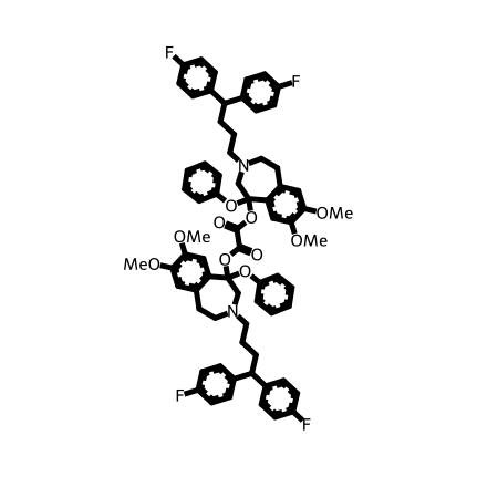 COc1cc2c(cc1OC)C(OC(=O)C(=O)OC1(Oc3ccccc3)CN(CCCC(c3ccc(F)cc3)c3ccc(F)cc3)CCc3cc(OC)c(OC)cc31)(Oc1ccccc1)CN(CCCC(c1ccc(F)cc1)c1ccc(F)cc1)CC2